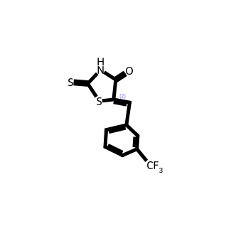 O=C1NC(=S)S/C1=C\c1cccc(C(F)(F)F)c1